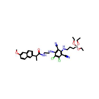 CCO[Si](CCCNc1c(C#N)c(Cl)c(Cl)c(NCCNC(=O)C(C)c2ccc3cc(OC)ccc3c2)c1C#N)(OCC)OCC